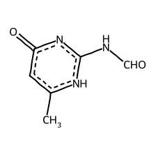 Cc1cc(=O)nc(NC=O)[nH]1